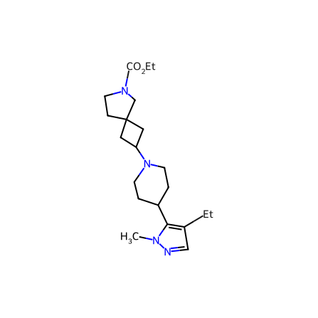 CCOC(=O)N1CCC2(CC(N3CCC(c4c(CC)cnn4C)CC3)C2)C1